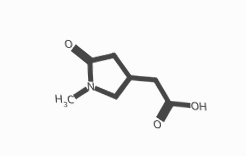 CN1CC(CC(=O)O)CC1=O